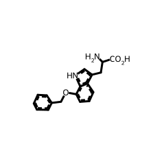 NC(Cc1c[nH]c2c(OCc3ccccc3)cccc12)C(=O)O